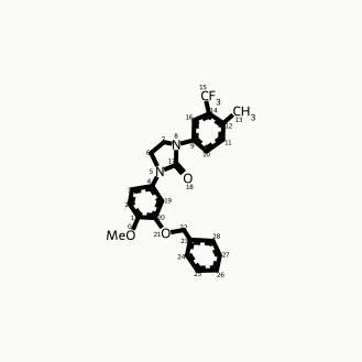 COc1ccc(N2CCN(c3ccc(C)c(C(F)(F)F)c3)C2=O)cc1OCc1ccccc1